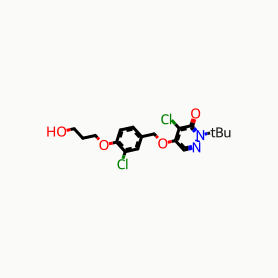 CC(C)(C)n1ncc(OCc2ccc(OCCCO)c(Cl)c2)c(Cl)c1=O